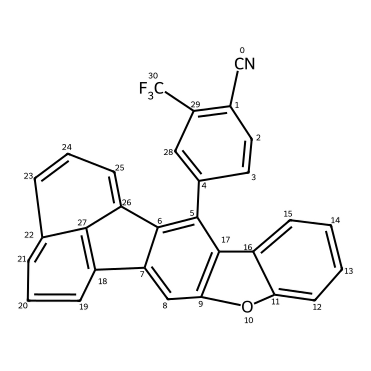 N#Cc1ccc(-c2c3c(cc4oc5ccccc5c24)-c2cccc4cccc-3c24)cc1C(F)(F)F